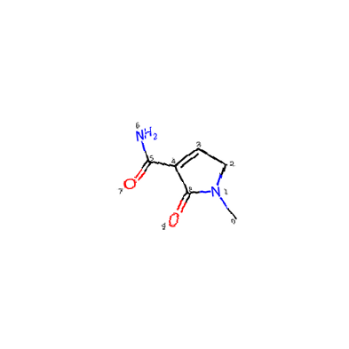 CN1CC=C(C(N)=O)C1=O